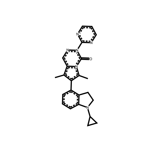 Cc1c(-c2cccc3c2CCN3C2CC2)c(C)n2c(=O)n(-c3ncccn3)ncc12